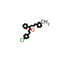 Cc1cccc(/C=C/CC(C(=O)/C=C/c2ccc(Cl)cc2)c2ccccc2)c1